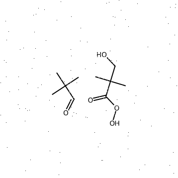 CC(C)(C)C=O.CC(C)(CO)C(=O)OO